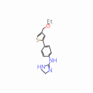 CCOCc1csc(-c2ccc(NC3=NCCN3)cc2)c1